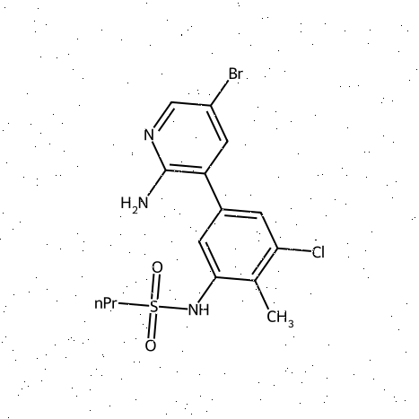 CCCS(=O)(=O)Nc1cc(-c2cc(Br)cnc2N)cc(Cl)c1C